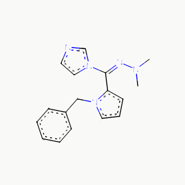 CN(C)/N=C(\c1cccn1Cc1ccccc1)n1ccnc1